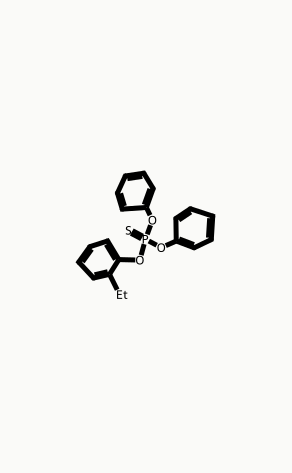 CCc1ccccc1OP(=S)(Oc1ccccc1)Oc1ccccc1